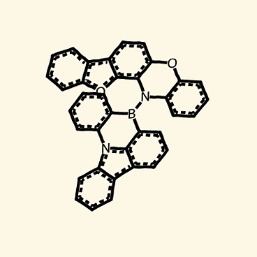 c1ccc2c(c1)Oc1ccc3c(oc4ccccc43)c1N2B1c2ccccc2-n2c3ccccc3c3cccc1c32